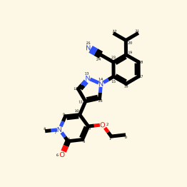 CCOc1cc(=O)n(C)cc1-c1cnn(-c2cccc(C(C)C)c2C#N)c1